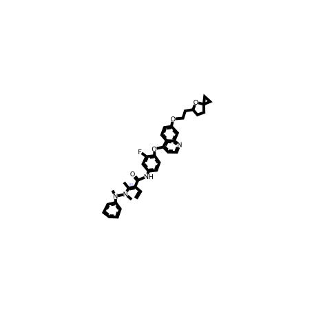 C=C/C(C(=O)Nc1ccc(Oc2ccnc3cc(OCCC4CCC5(CC5)O4)ccc23)c(F)c1)=C(/C)N(C)N(C)c1ccccc1